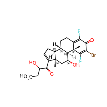 C[C@]12C(F)=C(Br)C(=O)C(F)=C1CC[C@@H]1[C@@H]2[C@@H](O)C[C@]2(C)C(C(=O)C(O)CC(=O)O)=CC[C@@H]12